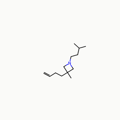 C=CCCC1(C)CN(CCC(C)C)C1